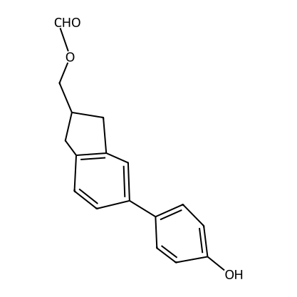 O=COCC1Cc2ccc(-c3ccc(O)cc3)cc2C1